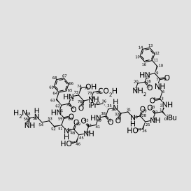 CC[C@H](C)[C@H](NC(=O)CNC(=O)[C@H](Cc1ccccc1)NC(=O)CN)C(=O)N[C@@H](CO)C(=O)NCC(=O)N[C@@H](CC(C)C)C(=O)NCC(=O)N[C@@H](CO)C(=O)N[C@@H](CCCNC(=N)N)C(=O)N[C@@H](Cc1ccccc1)C(=O)N[C@@H](CO)C(=O)NCC(=O)O